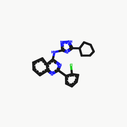 Clc1ccccc1-c1nc(Nc2n[nH]c(C3CCCCC3)n2)c2ccccc2n1